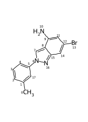 Cc1cccc(-n2cc3c(N)cc(Br)cc3n2)c1